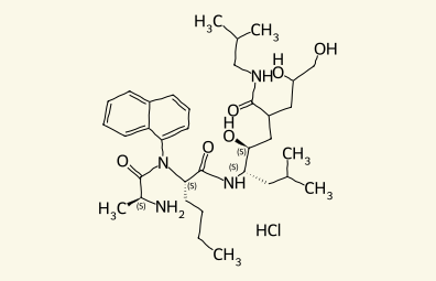 CCCC[C@@H](C(=O)N[C@@H](CC(C)C)[C@@H](O)CC(CC(O)CO)C(=O)NCC(C)C)N(C(=O)[C@H](C)N)c1cccc2ccccc12.Cl